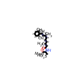 COC(=O)C(CS(=O)(=O)O)NC(=O)/C=C(C)/C=C/C=C(C)\C=C\C1=C(C)CCCC1(C)C